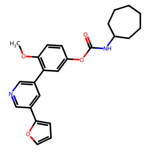 COc1ccc(OC(=O)NC2CCCCCC2)cc1-c1cncc(-c2ccco2)c1